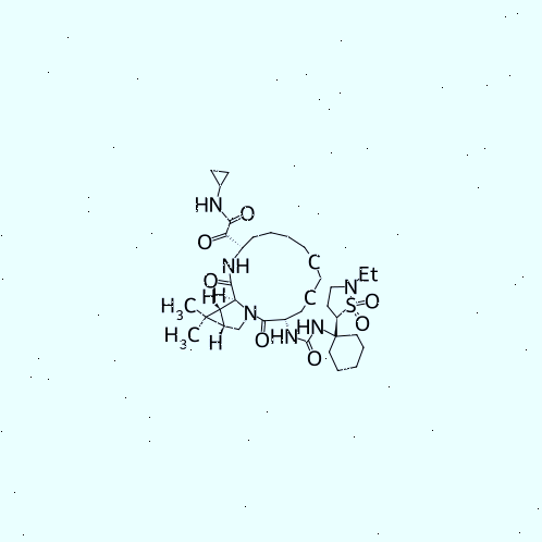 CCN1CC[C@H](C2(NC(=O)N[C@H]3CCCCCCCC[C@@H](C(=O)C(=O)NC4CC4)NC(=O)[C@@H]4[C@@H]5[C@H](CN4C3=O)C5(C)C)CCCCC2)S1(=O)=O